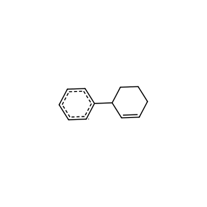 [c]1ccccc1C1C=CCCC1